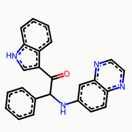 O=C(c1c[nH]c2ccccc12)C(Nc1ccc2nccnc2c1)c1ccccc1